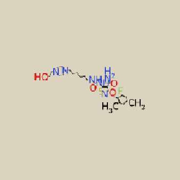 Cc1cc(C)c(COc2nsc(NC(=O)NCCCCCCN3CCN(CCO)CC3)c2C(N)=O)c(F)c1